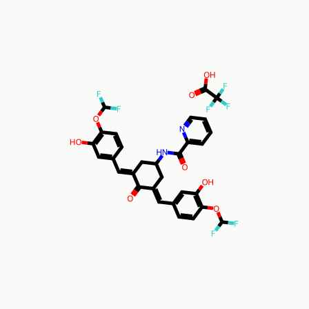 O=C(O)C(F)(F)F.O=C1/C(=C/c2ccc(OC(F)F)c(O)c2)CC(NC(=O)c2ccccn2)C/C1=C\c1ccc(OC(F)F)c(O)c1